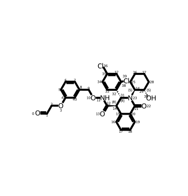 O=CCOc1cccc(CONC(=O)[C@@H]2c3ccccc3C(=O)N([C@H]3CCCC[C@@H]3O)[C@H]2c2ccc(Cl)cc2Cl)c1